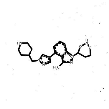 Cc1nn(C2CCONO2)c2cccc(-c3cnn(CC4CCNCC4)c3)c12